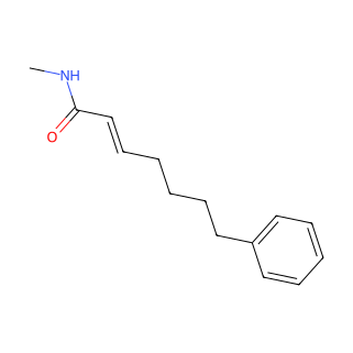 CNC(=O)/C=C/CCCCc1ccccc1